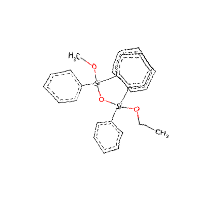 CCO[Si](O[Si](OC)(c1ccccc1)c1ccccc1)(c1ccccc1)c1ccccc1